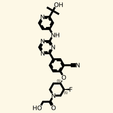 CC(C)(O)c1cc(Nc2ncnc(-c3ccc(O[C@H]4CCN(C(=O)CO)C[C@@H]4F)c(C#N)c3)n2)ccn1